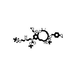 COCOc1cc(N(CCNCCO[Si](C)(C)C(C)(C)C)C(=O)OC(C)(C)C)cc2c1C(=O)O[C@@H](C)[C@H](C)/C=C\[C@@H](OCc1ccc(OC)cc1)[C@H]1OC(C)(C)O[C@H]1C/C=C/2